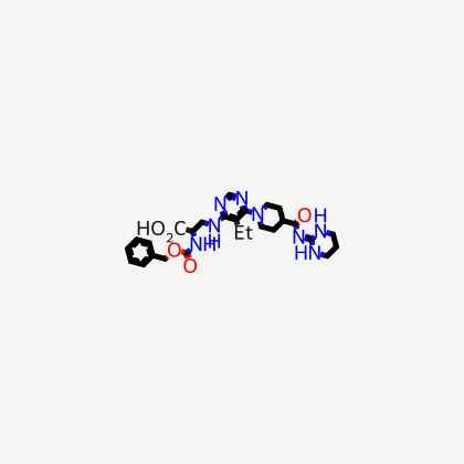 CCc1c(NCC(NC(=O)OCc2ccccc2)C(=O)O)ncnc1N1CCC(C(=O)N=C2NCCCN2)CC1